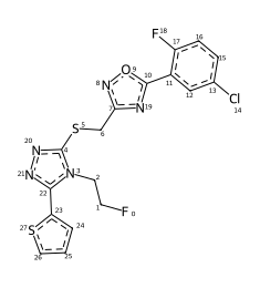 FCCn1c(SCc2noc(-c3cc(Cl)ccc3F)n2)nnc1-c1cccs1